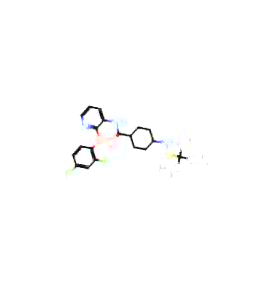 CC(C)(C)SNC1CCC(C(=O)Nc2cccnc2Oc2ccc(F)cc2F)CC1